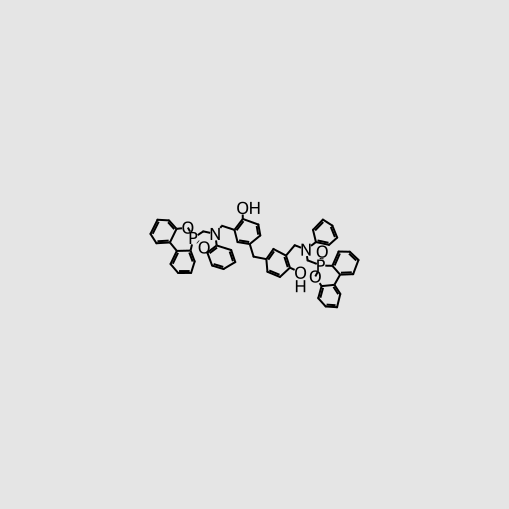 O=P1(CN(Cc2cc(Cc3ccc(O)c(CN(CP4(=O)Oc5ccccc5-c5ccccc54)c4ccccc4)c3)ccc2O)c2ccccc2)Oc2ccccc2-c2ccccc21